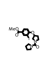 COC(=O)c1ccc(OC2CCN(C(=O)N3CCCC3)C2)c(I)c1